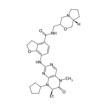 CC[C@@H]1C(=O)N(C)c2cnc(Nc3ccc(C(=O)NCC4CN5CCC[C@@H]5CO4)c4c3OCC4)nc2N1C1CCCC1